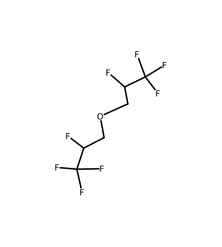 FC(COCC(F)C(F)(F)F)C(F)(F)F